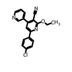 CCOc1nc(-c2ccc(Cl)cc2)cc(-c2cccnc2)c1C#N